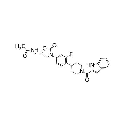 CC(=O)NC[C@H]1CN(c2ccc(C3CCN(C(=O)c4cc5ccccc5[nH]4)CC3)c(F)c2)C(=O)O1